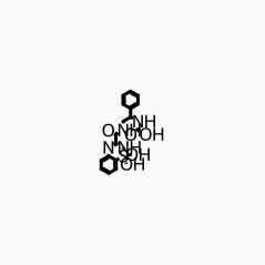 O=C(O)NC(CNC(=O)C1=Nc2ccccc2S(O)(O)N1)c1ccccc1